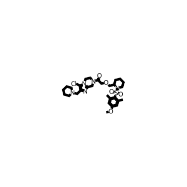 COc1cc(C)c(S(=O)(=O)N2CCCCC2COCC(=O)N2CCn3c(nc(CN4CCCCC4)c3Cl)C2)c(C)c1